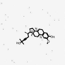 COc1cc2c(cc1O)CC[C@@H]1[C@@H]2CC[C@]2(C)[C@@H]([C@H](C)CC#CC(C)(C)O)CC[C@@H]12